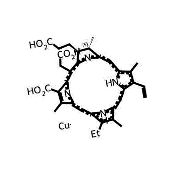 C=Cc1c(C)c2cc3nc(c(CC(=O)O)c4nc(cc5[nH]c(cc1[nH]2)c(C)c5CC)C(C)=C4C(=O)O)[C@@H](CCC(=O)O)[C@@H]3C.[Cu]